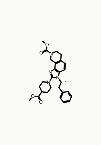 COC(=O)C1CCN(c2nc3c4c(ccc3n2[C@H](C)Cc2ccccc2)CCN(C(=O)OC)C4)CC1